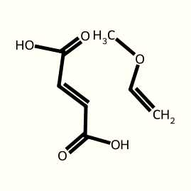 C=COC.O=C(O)C=CC(=O)O